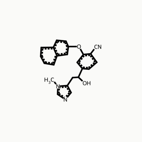 Cn1cncc1CC(O)c1ccc(C#N)c(Oc2ccc3ccccc3c2)c1